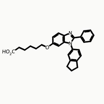 O=C(O)CCCCCOc1ccc2nc(-c3ccccc3)n(-c3ccc4c(c3)CCC4)c2c1